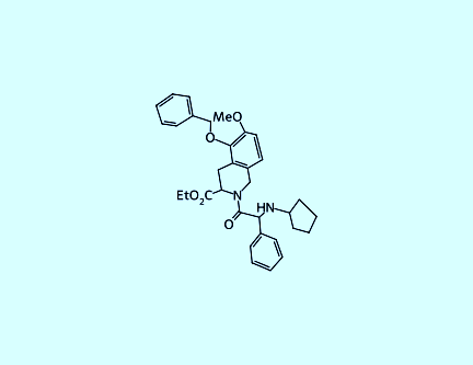 CCOC(=O)C1Cc2c(ccc(OC)c2OCc2ccccc2)CN1C(=O)C(NC1CCCC1)c1ccccc1